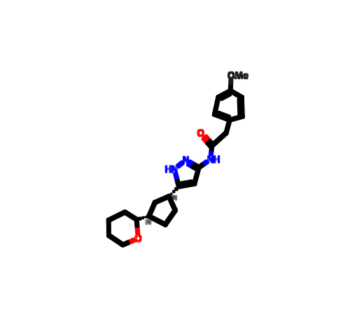 COc1ccc(CC(=O)Nc2cc([C@@H]3CC[C@H](C4CCCCO4)C3)[nH]n2)cc1